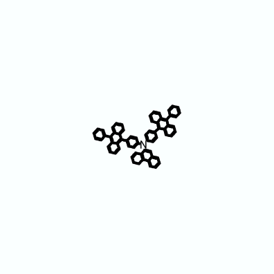 C1=Cc2c(N(c3ccc(-c4c5ccccc5c(-c5ccccc5)c5ccccc45)cc3)c3ccc(-c4c5ccccc5c(-c5ccccc5)c5ccccc45)cc3)cc3ccccc3c2CC1